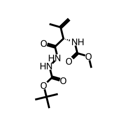 C=C(C)[C@H](NC(=O)OC)C(=O)NNC(=O)OC(C)(C)C